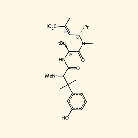 CNC(C(=O)N[C@H](C(=O)N(C)[C@H](/C=C(\C)C(=O)O)C(C)C)C(C)(C)C)C(C)(C)c1cccc(O)c1